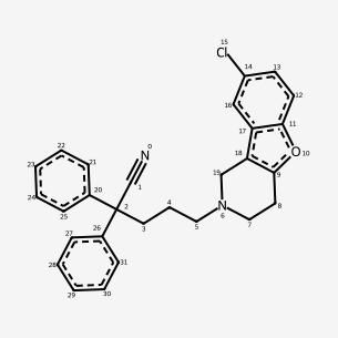 N#CC(CCCN1CCc2oc3ccc(Cl)cc3c2C1)(c1ccccc1)c1ccccc1